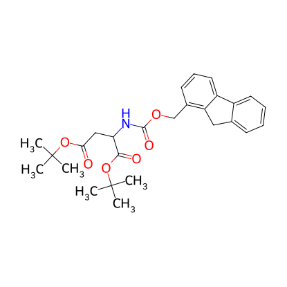 CC(C)(C)OC(=O)CC(NC(=O)OCc1cccc2c1Cc1ccccc1-2)C(=O)OC(C)(C)C